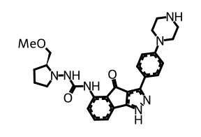 COC[C@@H]1CCCN1NC(=O)Nc1cccc2c1C(=O)c1c(-c3ccc(N4CCNCC4)cc3)n[nH]c1-2